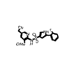 COc1cc(CC#N)cnc1NS(=O)(=O)c1c[nH]c(-c2ccccc2F)c1